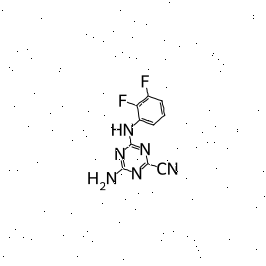 N#Cc1nc(N)nc(Nc2cccc(F)c2F)n1